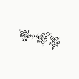 CCOC(=O)C1=C2CN(Cc3ccc(Oc4cnc(C5=NC(c6ccc(F)cc6Br)C(C(=O)OCC)=C6CN(C)CCN56)s4)cc3)CCN2C(c2nc(COC(=O)CN3CCN4C(c5nccs5)=N[C@@H](c5ccc(F)cc5Br)C(C(=O)OCC)=C4C3)cs2)=NC1c1ccc(F)cc1Br